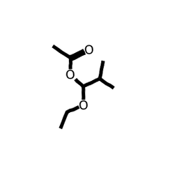 CCOC(OC(C)=O)C(C)C